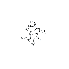 CC/C(=N\O)c1nc(C)nc2c1c(C)cn2-c1c(C)cc(Cl)cc1C